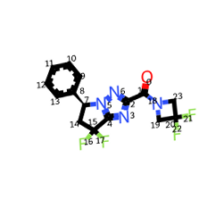 O=C(c1nc2n(n1)[C@H](c1ccccc1)CC2(F)F)N1CC(F)(F)C1